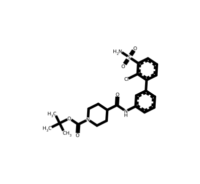 CC(C)(C)OC(=O)N1CCC(C(=O)Nc2cccc(-c3cccc(S(N)(=O)=O)c3Cl)c2)CC1